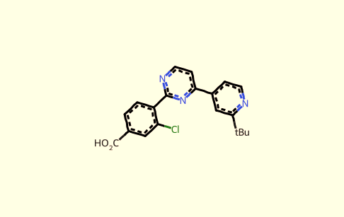 CC(C)(C)c1cc(-c2ccnc(-c3ccc(C(=O)O)cc3Cl)n2)ccn1